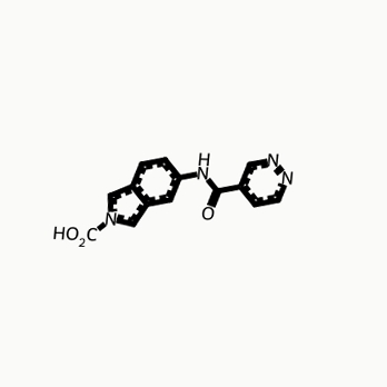 O=C(Nc1ccc2cn(C(=O)O)cc2c1)c1ccnnc1